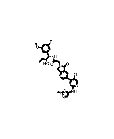 CC[C@H](O)[C@@H](NC(=O)CN1Cc2ncc(-c3nc(Nc4cnn(C)n4)ncc3Cl)cc2C1=O)c1cc(F)cc(OC)c1